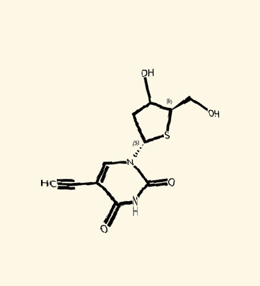 C#Cc1cn([C@@H]2CC(O)[C@@H](CO)S2)c(=O)[nH]c1=O